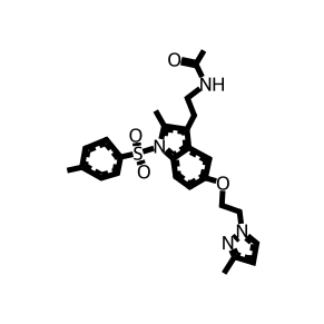 CC(=O)NCCc1c(C)n(S(=O)(=O)c2ccc(C)cc2)c2ccc(OCCn3ccc(C)n3)cc12